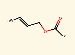 CCCC=CCOC(=O)C(C)C